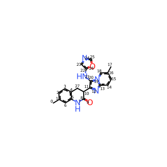 Cc1ccc2c(c1)NC(=O)C(c1nc3ccc(C)cn3c1Nc1cnco1)C2